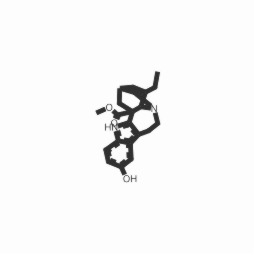 CCC1=CC2CN3CCc4c([nH]c5ccc(O)cc45)C(C(=O)OC)(C2)C13